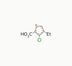 CCc1csc(C(=O)O)c1Cl